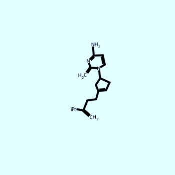 C=C(CCC1=CCC(N2C=CC(N)=NC2=C)C1)C(C)C